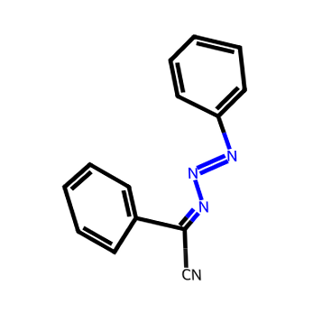 N#CC(=NN=Nc1ccccc1)c1ccccc1